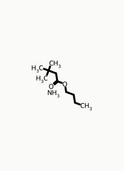 CCCCOC(=O)CC(C)(C)C.N